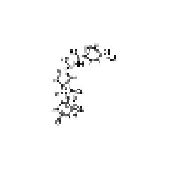 CCOc1ccc(C(=O)NC(=O)c2ccc3c(c2)C(=O)N(C2(C)CCC(=O)NC2=O)C3)nc1